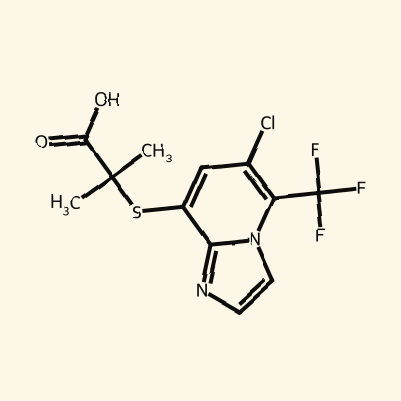 CC(C)(Sc1cc(Cl)c(C(F)(F)F)n2ccnc12)C(=O)O